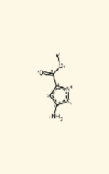 COC(=O)c1cc(N)sn1